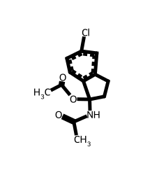 CC(=O)NC1(OC(C)=O)CCc2cc(Cl)ccc21